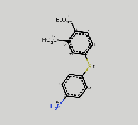 CCOC(=O)c1ccc(Sc2ccc(N)cc2)cc1C(=O)O